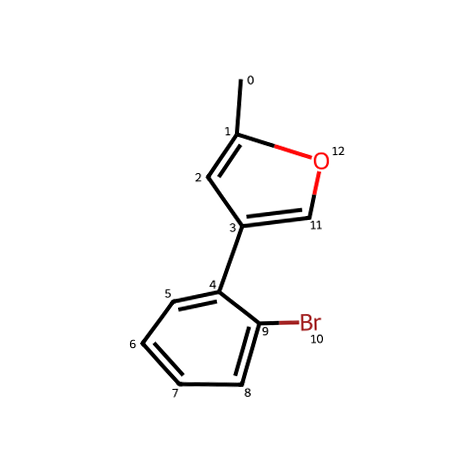 Cc1cc(-c2ccccc2Br)co1